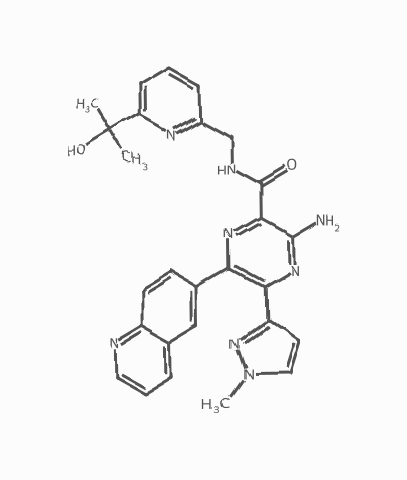 Cn1ccc(-c2nc(N)c(C(=O)NCc3cccc(C(C)(C)O)n3)nc2-c2ccc3ncccc3c2)n1